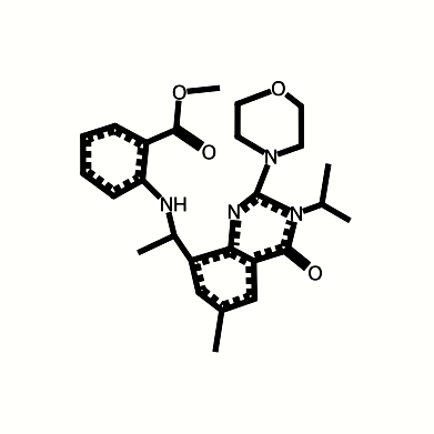 COC(=O)c1ccccc1NC(C)c1cc(C)cc2c(=O)n(C(C)C)c(N3CCOCC3)nc12